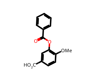 COc1ccc(C(=O)O)cc1OC(=O)c1ccccc1